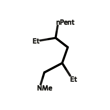 CCCCCC(CC)CC(CC)CNC